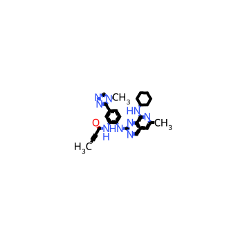 CC#CC(=O)Nc1cc(-c2nncn2C)ccc1Nc1ncc2cc(C)nc(NC3CCCCC3)c2n1